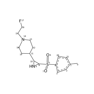 Cc1ccc(S(=O)(=O)C2NC2C2CCN(CCF)CC2)cc1